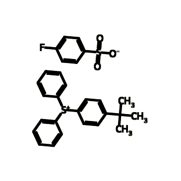 CC(C)(C)c1ccc([S+](c2ccccc2)c2ccccc2)cc1.O=S(=O)([O-])c1ccc(F)cc1